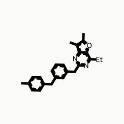 CCc1nc(Cc2cccc(Cc3ccc(C)cc3)c2)nc2c(C)c(C)oc12